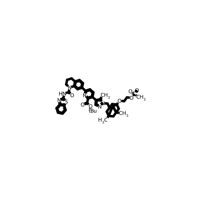 Cc1c(-c2ccc(-c3ccc4c(c3)N(C(=O)Nc3nc5ccccc5s3)CCC4)nc2C(=O)OC(C)(C)C)cnn1CC12CC3(C)CC(C)(C1)CC(OCCOS(C)(=O)=O)(C3)C2